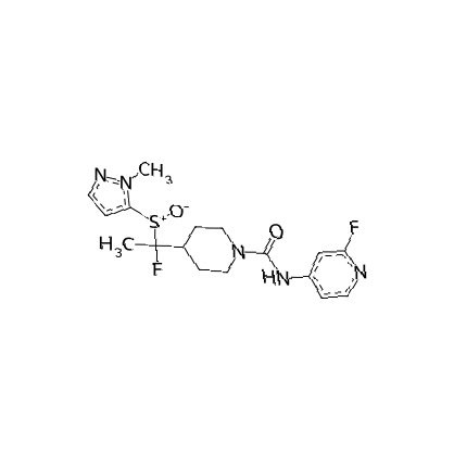 Cn1nccc1[S+]([O-])C(C)(F)C1CCN(C(=O)Nc2ccnc(F)c2)CC1